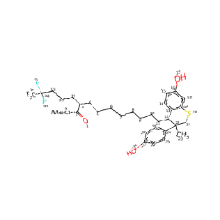 COC(=O)C(CCCCCCCCC1c2ccc(O)cc2SCC1(C)c1ccc(O)cc1)CCCC(F)(F)C(F)(F)F